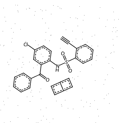 C#Cc1ccccc1S(=O)(=O)Nc1ccc(Cl)cc1C(=O)c1ccccc1.c1cc2ccc1-2